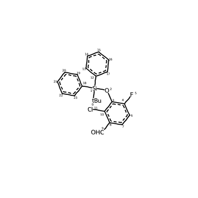 CC(C)(C)[Si](Oc1c(F)ccc(C=O)c1Cl)(c1ccccc1)c1ccccc1